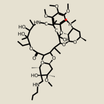 CCCNC[C@]1(O)[C@H](C)O[C@@H](OC2C(C)C(=O)OC(CC)C(C)(O)C(O)C(C)NCC(C)CC(C)(O)C(O[C@@H]3O[C@H](C)C[C@H](N(C)C)[C@H]3Oc3cc(OC)c(OC)c(OC)c3)C2C)C[C@@]1(C)OC